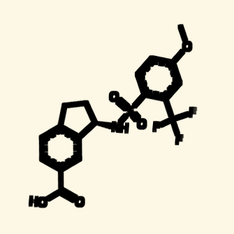 COc1ccc(S(=O)(=O)N[C@@H]2CCc3ccc(C(=O)O)cc32)c(C(F)(F)F)c1